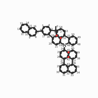 CC1(C)c2ccc(-c3ccc4ccccc4c3)cc2-c2ccc(N(c3ccc(-c4cccc5cccc(-c6ccccc6)c45)cc3)c3ccccc3-c3ccccc3)cc21